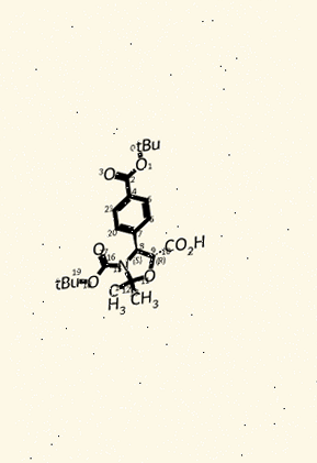 CC(C)(C)OC(=O)c1ccc([C@H]2[C@H](C(=O)O)OC(C)(C)N2C(=O)OC(C)(C)C)cc1